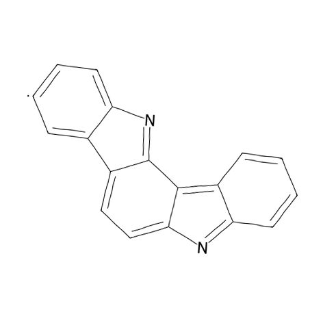 [c]1ccc2c(c1)-c1ccc3c(c1=N2)=c1ccccc1=N3